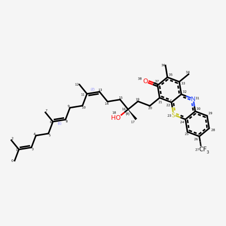 CC(C)=CCC/C(C)=C/CC/C(C)=C\CC[C@@](C)(O)CCc1c2sc3cc(C(F)(F)F)ccc3nc-2c(C)c(C)c1=O